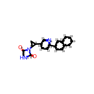 O=C1CNC(=O)N1C1CC1c1ccc(-c2ccc3ccccc3c2)nc1